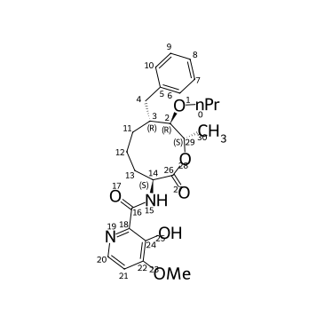 CCCO[C@@H]1[C@@H](Cc2ccccc2)CCC[C@H](NC(=O)c2nccc(OC)c2O)C(=O)O[C@H]1C